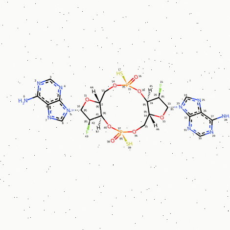 Nc1ncnc2c1ncn2[C@@H]1O[C@@H]2CO[P@@](=O)(S)O[C@H]3[C@@H](F)[C@H](n4cnc5c(N)ncnc54)O[C@@H]3CO[P@@](=O)(S)O[C@H]2[C@H]1F